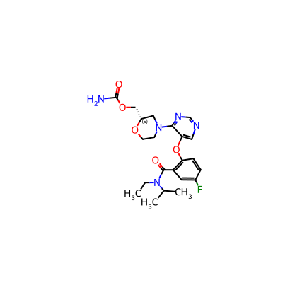 CCN(C(=O)c1cc(F)ccc1Oc1cncnc1N1CCO[C@H](COC(N)=O)C1)C(C)C